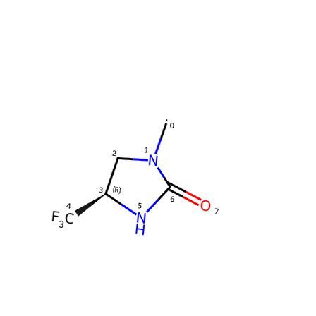 [CH2]N1C[C@H](C(F)(F)F)NC1=O